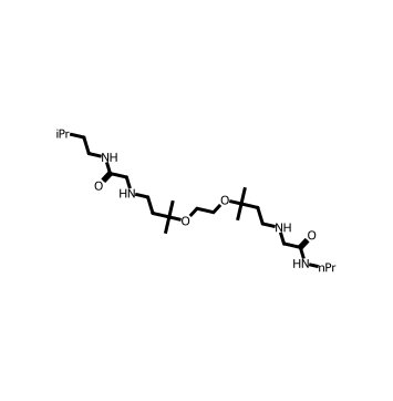 CCCNC(=O)CNCCC(C)(C)OCCOC(C)(C)CCNCC(=O)NCCC(C)C